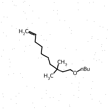 C=CCCCCCC(C)(C)CCOCCCC